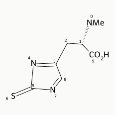 CN[C@@H](CC1=NC(=S)N=C1)C(=O)O